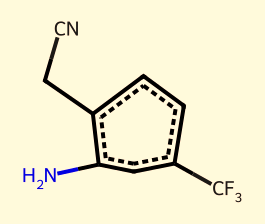 N#CCc1ccc(C(F)(F)F)cc1N